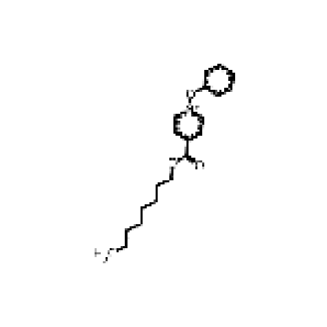 CCCCCCCCOC(=O)c1cc[n+](Oc2ccccc2)cc1